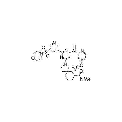 CNC(=O)C1CCCC2(CCN(c3cc(Nc4cc(OC(F)(F)F)ccn4)nc(-c4cncc(S(=O)(=O)N5CCOCC5)c4)n3)C2)C1